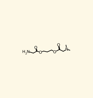 CN(C)CC(=O)OCCCOC(=O)CN